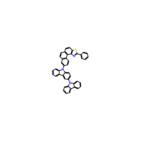 c1ccc(-c2nc3c(ccc4ccc5cc(-n6c7ccccc7c7cc(-n8c9ccccc9c9ccccc98)ccc76)ccc5c43)s2)cc1